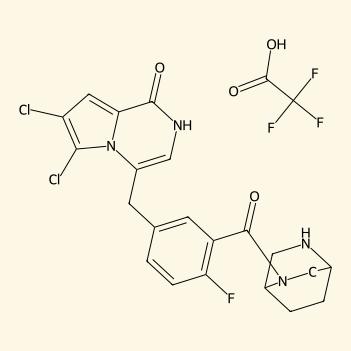 O=C(O)C(F)(F)F.O=C(c1cc(Cc2c[nH]c(=O)c3cc(Cl)c(Cl)n23)ccc1F)N1CC2CCC1CN2